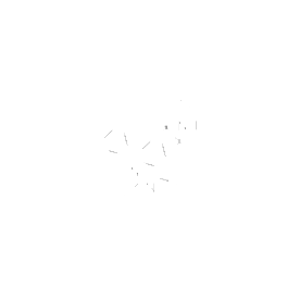 Cc1ccc(Cn2c(=O)n(C)c(=O)c3cc(S(=O)(=O)NC4(C)CC4)ccc32)cc1